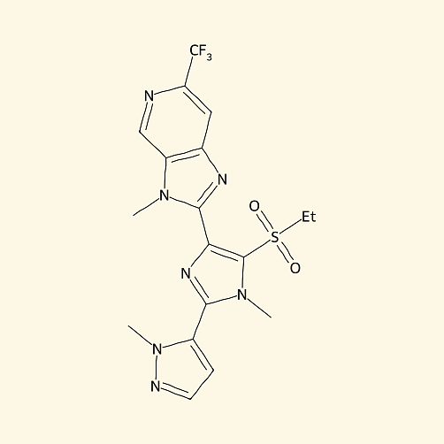 CCS(=O)(=O)c1c(-c2nc3cc(C(F)(F)F)ncc3n2C)nc(-c2ccnn2C)n1C